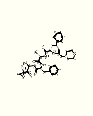 CC(C)C(NC(=O)[C@H](Cc1ccccc1)NC(=O)[C@@H](NC(=O)[C@H](CCc1ccccc1)NC(=O)CN1CCOCC1)C(C)C)C(=O)[C@@]1(C)CO1